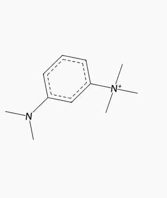 CN(C)c1cccc([N+](C)(C)C)c1